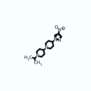 CC(C)N1CCC(N2CCC(n3cc([N+](=O)[O-])cn3)CC2)CC1